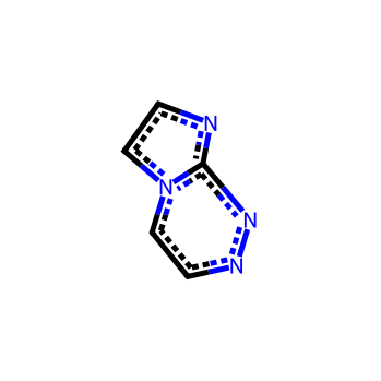 c1cn2ccnc2nn1